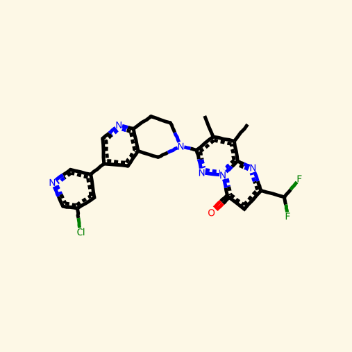 Cc1c(N2CCc3ncc(-c4cncc(Cl)c4)cc3C2)nn2c(=O)cc(C(F)F)nc2c1C